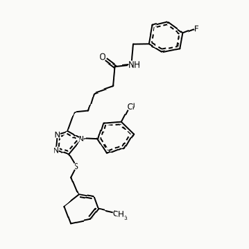 CC1=CCCC(CSc2nnc(CCCCC(=O)NCc3ccc(F)cc3)n2-c2cccc(Cl)c2)=C1